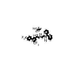 O=C(O)C(F)(F)F.O[C@@H](CNCCNC(c1ccccn1)c1ccccn1)c1cc(-c2ccc(C(F)(F)F)cc2)nc(C(F)(F)F)c1